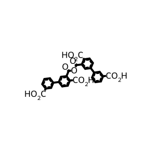 O=C(O)c1cccc(-c2ccc(C(=O)O)c(C(=O)OC(=O)c3cc(-c4cccc(C(=O)O)c4)ccc3C(=O)O)c2)c1